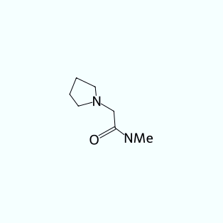 CNC(=O)CN1CCCC1